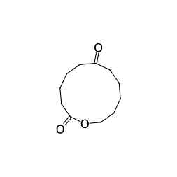 O=C1CCCCCOC(=O)CCCC1